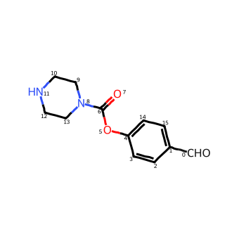 O=Cc1ccc(OC(=O)N2CCNCC2)cc1